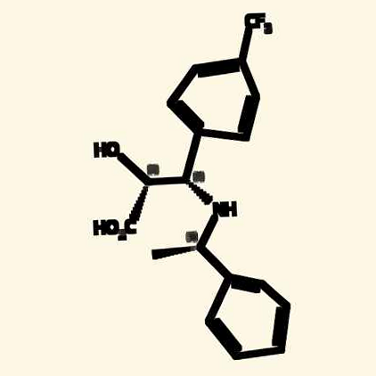 C[C@H](N[C@@H](c1ccc(C(F)(F)F)cc1)[C@@H](O)C(=O)O)c1ccccc1